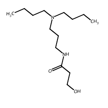 CCCCN(CCCC)CCCNC(=O)CCO